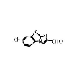 O=Cc1cn2c(n1)sc1cc(Cl)ccc12